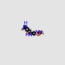 CC(C)(C)OC(=O)Nc1ccc2c(c1)/C(=C/c1ccc3c(I)n[nH]c3c1)C(=O)N2